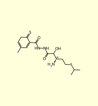 CC1=CCC(=S)C(C(=O)NNC(=O)C(O)[C@H](N)CCSC(C)C)=C1